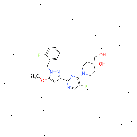 COc1cc(-c2ncc(F)c(N3CCC(O)(CO)CC3)n2)nn1Cc1ccccc1F